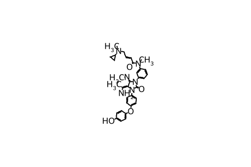 C/N=C1\C(=C(/C)N)N(c2ccc(Oc3ccc(O)cc3)cc2)C(=O)N1c1cccc(N(C)C(=O)/C=C/CN(C)C2CC2)c1